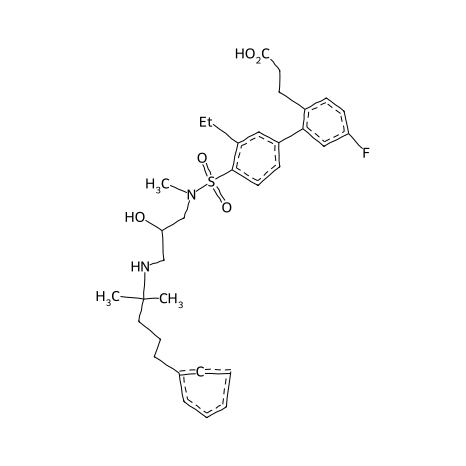 CCc1cc(-c2cc(F)ccc2CCC(=O)O)ccc1S(=O)(=O)N(C)CC(O)CNC(C)(C)CCCc1ccccc1